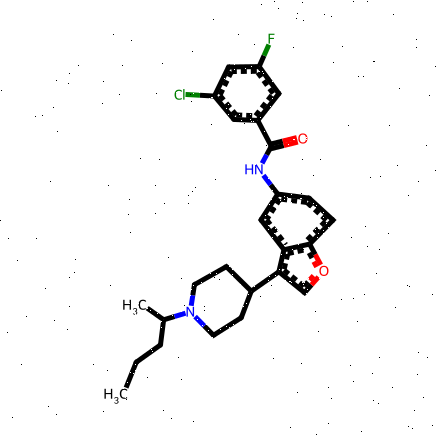 CCCC(C)N1CCC(c2coc3ccc(NC(=O)c4cc(F)cc(Cl)c4)cc23)CC1